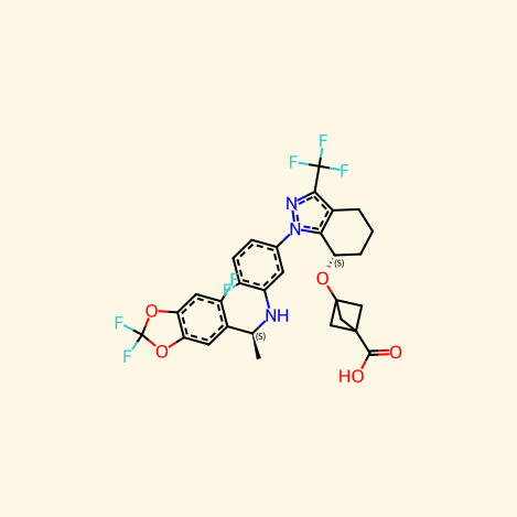 C[C@H](Nc1cc(-n2nc(C(F)(F)F)c3c2[C@@H](OC24CC(C(=O)O)(C2)C4)CCC3)ccc1F)c1cc2c(cc1F)OC(F)(F)O2